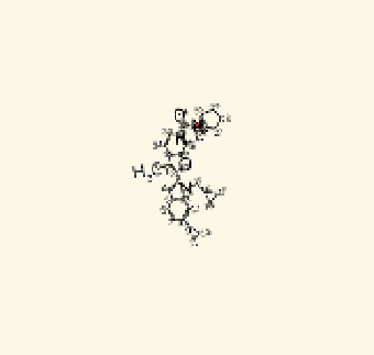 Cc1c(-c2cc3ccc(C4CC4)cc3n2CC2CC2)oc2cc(C(=O)N3CC4CCC3[C@@H]4C)ccc12